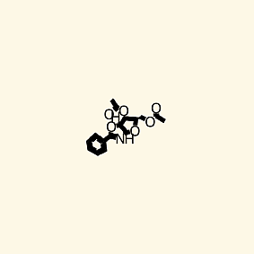 CC(=O)OC[C@H]1O[C@@H]2N=C(c3ccccc3)O[C@@H]2[C@@H]1OC(C)=O